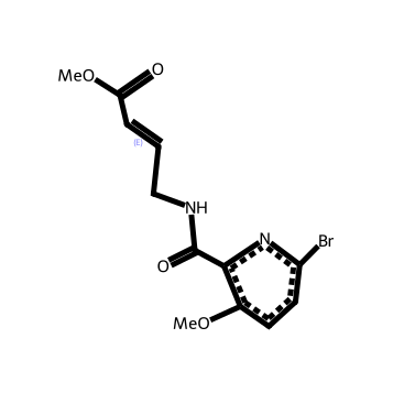 COC(=O)/C=C/CNC(=O)c1nc(Br)ccc1OC